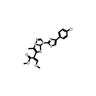 COC=C(C(=O)OC)C1=C(C)N2N=CN(c3nc(-c4ccc(Cl)cc4)cs3)C2S1